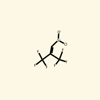 [O-][S+](Cl)C=C(C(F)(F)F)C(F)(F)F